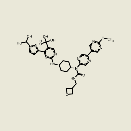 COc1ncc(-c2cnc(N(C(=O)NCC3COC3)[C@H]3CC[C@H](Nc4ncc(C(O)(O)O)c(-c5ccn(C(O)O)n5)n4)CC3)cn2)cn1